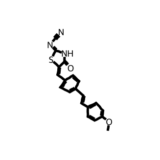 COc1ccc(C=Cc2ccc(C=C3SC(=NC#N)NC3=O)cc2)cc1